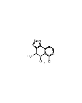 CC1c2nsnc2-c2ccnc(Cl)c2N1C